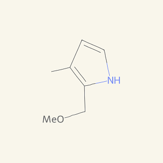 COCc1[nH]ccc1C